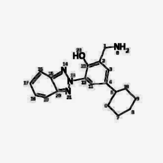 NCc1cc(C2CCCCC2)cc(-n2nc3ccccc3n2)c1O